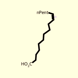 CCCCC/C=C\CCCCCCCCC(=O)O